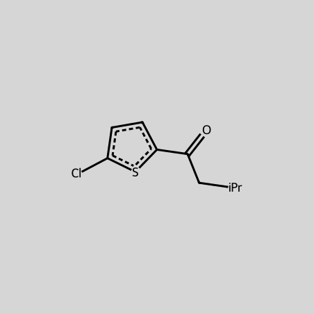 CC(C)CC(=O)c1ccc(Cl)s1